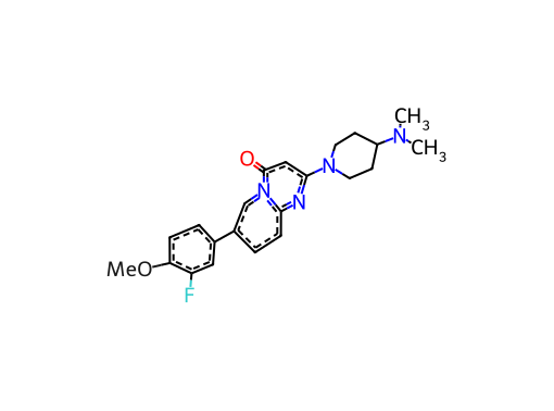 COc1ccc(-c2ccc3nc(N4CCC(N(C)C)CC4)cc(=O)n3c2)cc1F